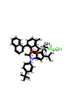 CC1=Cc2c(-c3cccc4ccccc34)ccc(C)c2[CH]1[Zr]([CH3])([CH3])(=[SiH2])[C]1=C(C(C)C)C=C2C1=CC(C)N2c1ccc(C(C)(C)C)cc1.Cl.Cl